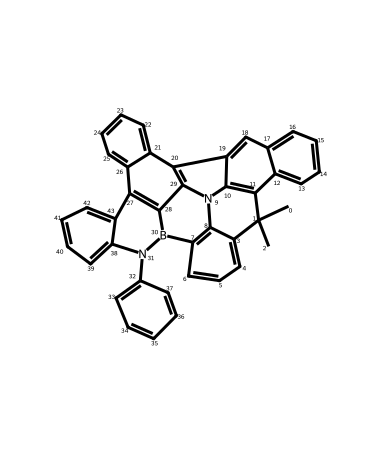 CC1(C)c2cccc3c2-n2c4c1c1ccccc1cc4c1c4ccccc4c4c(c12)B3N(c1ccccc1)c1ccccc1-4